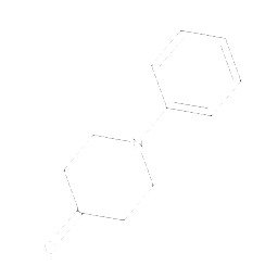 O=C1CCN(c2cc[c]cc2)CC1